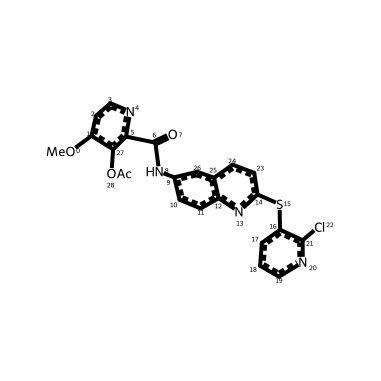 COc1ccnc(C(=O)Nc2ccc3nc(Sc4cccnc4Cl)ccc3c2)c1OC(C)=O